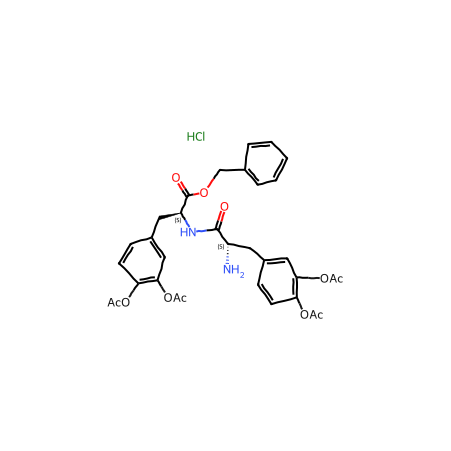 CC(=O)Oc1ccc(C[C@H](NC(=O)[C@@H](N)Cc2ccc(OC(C)=O)c(OC(C)=O)c2)C(=O)OCc2ccccc2)cc1OC(C)=O.Cl